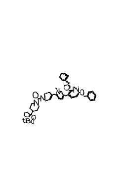 CC(C)(C)OC(=O)C1CCN(C(=O)N2CC=C(c3ccc(-c4ccc(OCc5ccccc5)nc4OCc4ccccc4)cn3)CC2)CC1